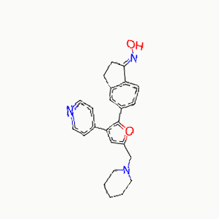 ON=C1CCc2cc(-c3oc(CN4CCCCC4)cc3-c3ccncc3)ccc21